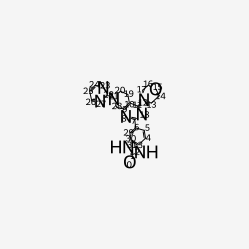 O=c1[nH]c2ccc(-c3nc4c(c(N5CCOCC5)n3)CCN(c3ncccn3)C4)cc2[nH]1